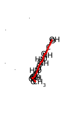 CC(=O)CC[C@H](NC(=O)COCCOCCNC(=O)COCCOCCNC(=O)CCCNC(=O)CCCNC(=O)CCCCCCCCCCCCCCCCC(=O)O)C(=O)O